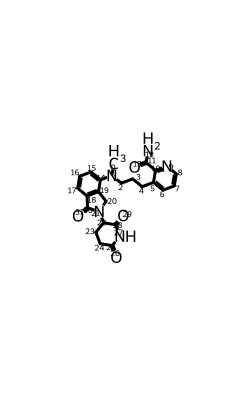 CN(CCCc1cccnc1C(N)=O)c1cccc2c1CN(C1CCC(=O)NC1=O)C2=O